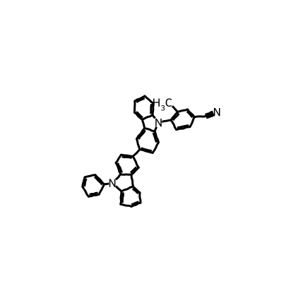 Cc1cc(C#N)ccc1-n1c2ccccc2c2cc(-c3ccc4c(c3)c3ccccc3n4-c3ccccc3)ccc21